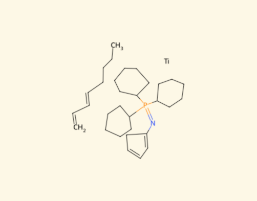 C1=CCC(N=P(C2CCCCC2)(C2CCCCC2)C2CCCCC2)=C1.C=CC=CCCCC.[Ti]